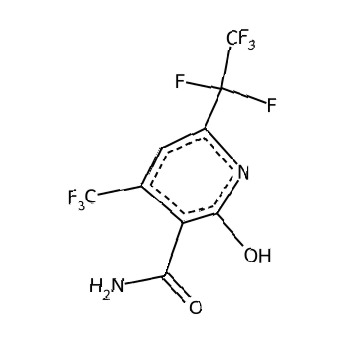 NC(=O)c1c(C(F)(F)F)cc(C(F)(F)C(F)(F)F)nc1O